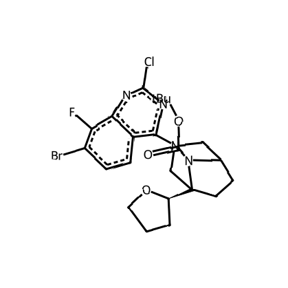 CC(C)(C)OC(=O)N1C2CCC1([C@H]1CCCO1)CN(c1nc(Cl)nc3c(F)c(Br)ccc13)C2